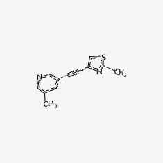 Cc1cncc(C#Cc2csc(C)n2)c1